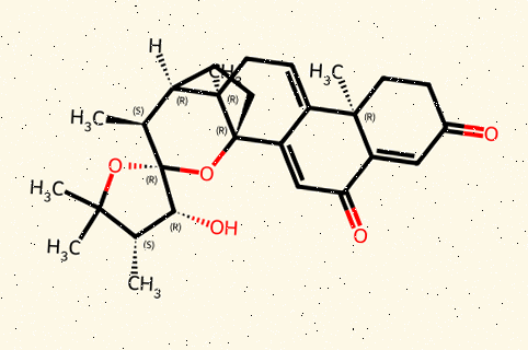 C[C@H]1[C@@H](O)[C@]2(OC1(C)C)O[C@]13CC[C@H]([C@@H]2C)[C@@]1(C)CC=C1C3=CC(=O)C2=CC(=O)CC[C@@]21C